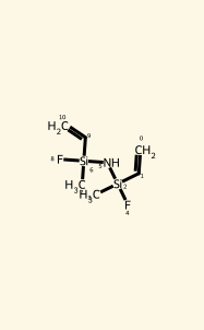 C=C[Si](C)(F)N[Si](C)(F)C=C